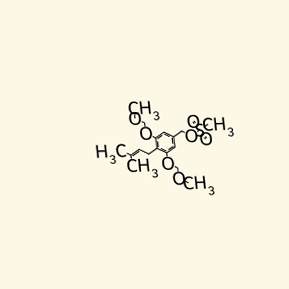 COCOc1cc(COS(C)(=O)=O)cc(OCOC)c1CC=C(C)C